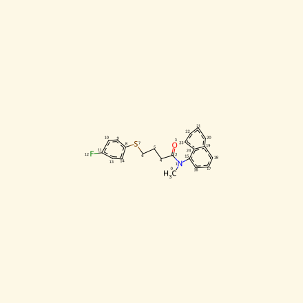 CN(C(=O)CCCSc1ccc(F)cc1)c1cccc2ccccc12